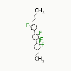 CCCCCc1ccc(-c2ccc(C3CCC(CCC)CC3(F)F)c(F)c2F)cc1F